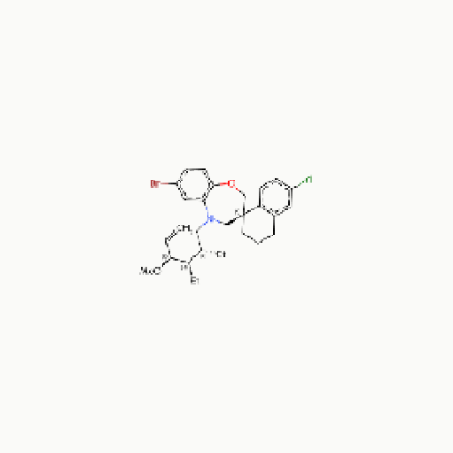 C=C[C@H](OC)[C@H](CC)[C@@H](CC)CN1C[C@@]2(CCCc3cc(Cl)ccc32)COc2ccc(Br)cc21